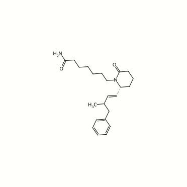 CC(/C=C/[C@H]1CCCC(=O)N1CCCCCCC(N)=O)Cc1ccccc1